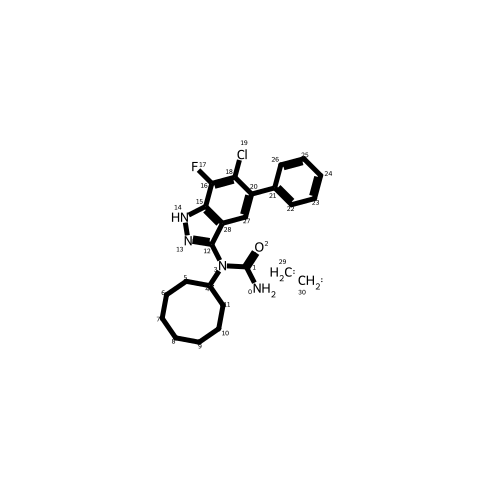 NC(=O)N([C]1CCCCCCC1)c1n[nH]c2c(F)c(Cl)c(-c3ccccc3)cc12.[CH2].[CH2]